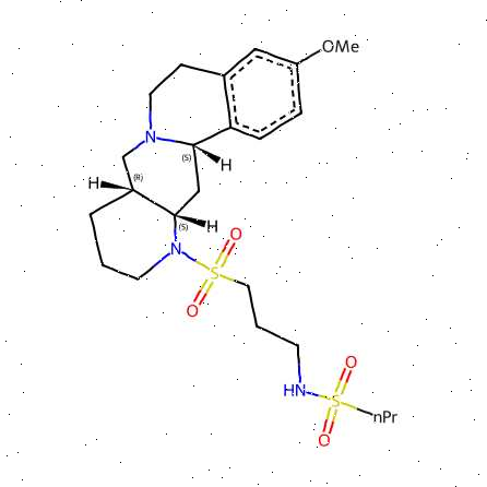 CCCS(=O)(=O)NCCCS(=O)(=O)N1CCC[C@@H]2CN3CCc4cc(OC)ccc4[C@@H]3C[C@@H]21